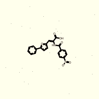 O=C(O)/C(=C/c1ccc(-c2ccccc2)o1)NC(=O)c1ccc([N+](=O)[O-])cc1